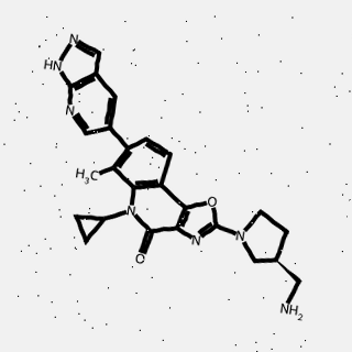 Cc1c(-c2cnc3[nH]ncc3c2)ccc2c3oc(N4CC[C@@H](CN)C4)nc3c(=O)n(C3CC3)c12